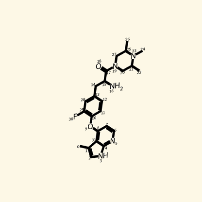 Cc1c[nH]c2nccc(Oc3ccc(CC(N)C(=O)N4CC(C)N(C)C(C)C4)cc3F)c12